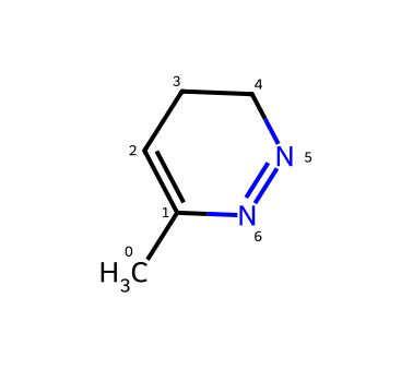 CC1=CCCN=N1